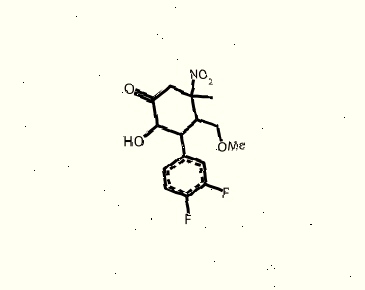 COCC1C(c2ccc(F)c(F)c2)C(O)C(=O)CC1(C)[N+](=O)[O-]